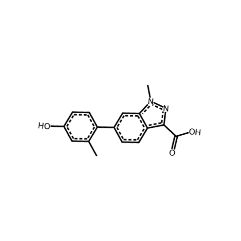 Cc1cc(O)ccc1-c1ccc2c(C(=O)O)nn(C)c2c1